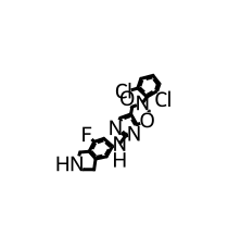 O=C1c2cnc(Nc3cc(F)c4c(c3)CCNC4)nc2OCN1c1c(Cl)cccc1Cl